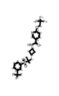 CC(C)(C[C@H]1C[C@@H](NC(=O)c2ccc(OCC(F)(F)F)nc2)C1)S(=O)(=O)c1cccc(C(F)(F)F)c1